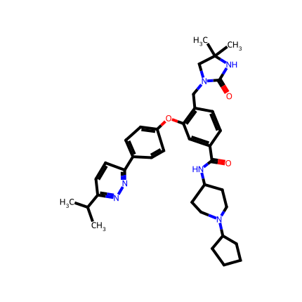 CC(C)c1ccc(-c2ccc(Oc3cc(C(=O)NC4CCN(C5CCCC5)CC4)ccc3CN3CC(C)(C)NC3=O)cc2)nn1